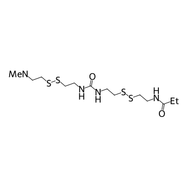 CCC(=O)NCCSSCCNC(=O)NCCSSCCNC